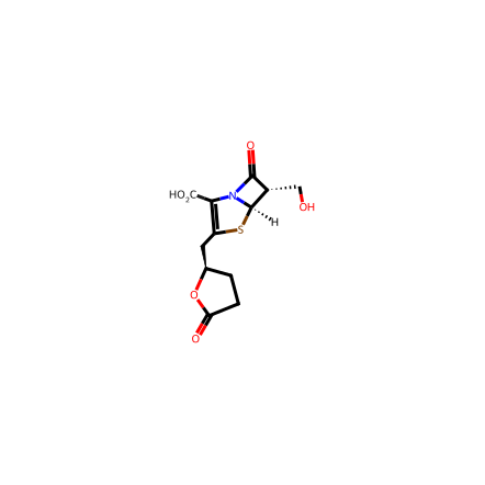 O=C1CC[C@H](CC2=C(C(=O)O)N3C(=O)[C@H](CO)[C@H]3S2)O1